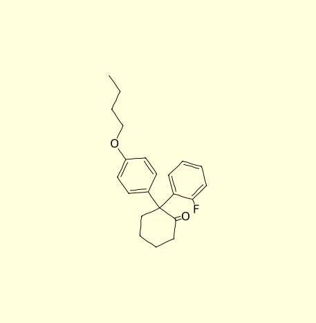 CCCCOc1ccc(C2(c3ccccc3F)CCCCC2=O)cc1